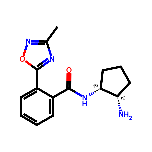 Cc1noc(-c2ccccc2C(=O)N[C@@H]2CCC[C@@H]2N)n1